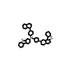 c1ccc2c(-c3ccc(N(c4ccc(-c5ccc6ccc7sc8ccccc8c7c6c5)cc4)c4ccc5c(c4)sc4ccccc45)cc3)cccc2c1